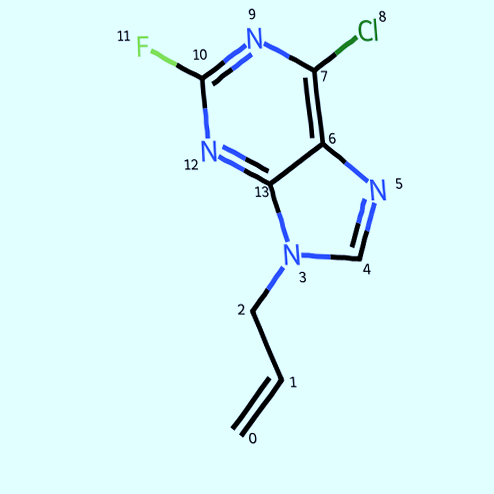 C=CCn1cnc2c(Cl)nc(F)nc21